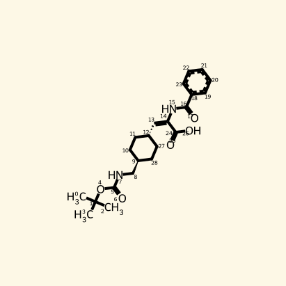 CC(C)(C)OC(=O)NC[C@H]1CC[C@H](/C=C(/NC(=O)c2ccccc2)C(=O)O)CC1